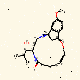 COc1ccc2c(c1)[C@@H]1C[C@H]2OCC=CCCCC(=O)N[C@@H](CC(C)C)[C@H](O)CN1